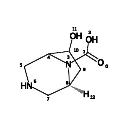 O=C(O)N1C2CNC[C@@H]1CC2O